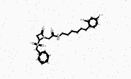 O=C(CN1C(=O)CC1S(=O)(=O)Cc1ccccc1)NCCCCCCc1ccc(F)cc1F